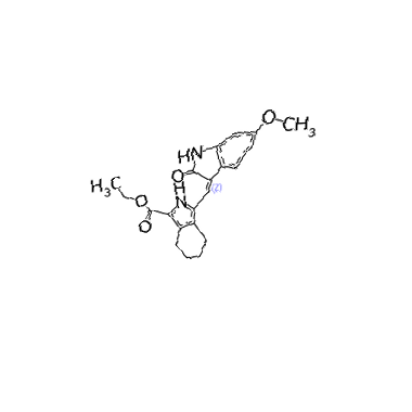 CCOC(=O)c1[nH]c(/C=C2\C(=O)Nc3cc(OC)ccc32)c2c1CCCC2